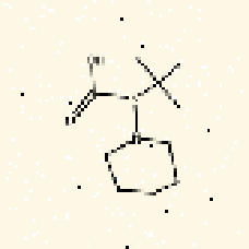 CC(C)(C)N(C(=O)O)N1CCCCC1